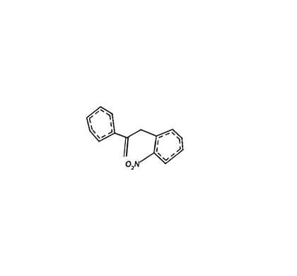 C=C(Cc1ccccc1[N+](=O)[O-])c1ccccc1